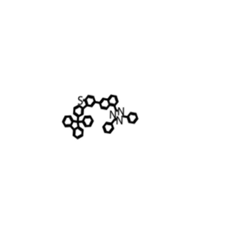 c1ccc(-c2nc(-c3ccccc3)nc(-c3cccc4cc(-c5ccc6sc7ccc(C8(c9ccccc9)c9ccccc9-c9ccccc98)cc7c6c5)ccc34)n2)cc1